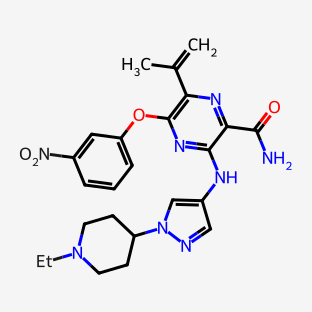 C=C(C)c1nc(C(N)=O)c(Nc2cnn(C3CCN(CC)CC3)c2)nc1Oc1cccc([N+](=O)[O-])c1